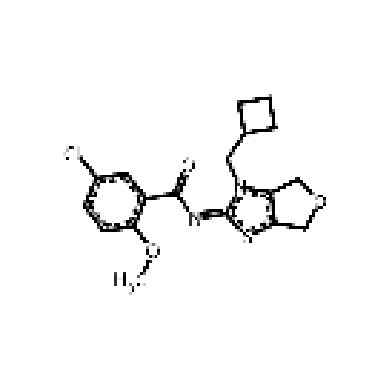 COc1ccc(Cl)cc1C(=O)N=c1sc2c(n1CC1CCC1)COC2